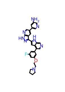 Nc1cncc(-c2cnc3[nH]nc(-c4cc5c(-c6cc(F)cc(OCCN7CCCC7)c6)cncc5[nH]4)c3c2)c1